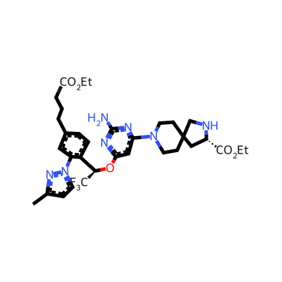 CCOC(=O)CCCc1ccc([C@@H](Oc2cc(N3CCC4(CC3)CN[C@H](C(=O)OCC)C4)nc(N)n2)C(F)(F)F)c(-n2ccc(C)n2)c1